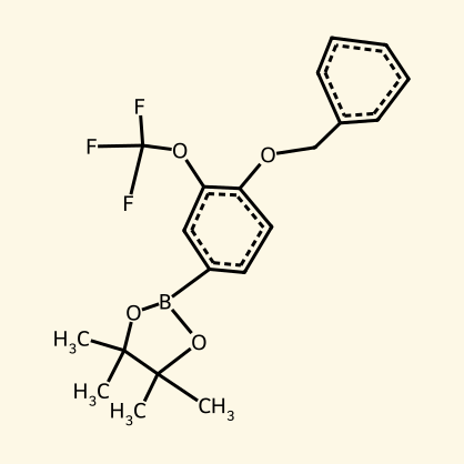 CC1(C)OB(c2ccc(OCc3ccccc3)c(OC(F)(F)F)c2)OC1(C)C